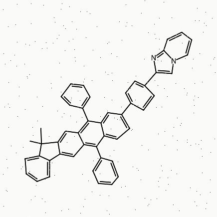 CC1(C)c2ccccc2-c2cc3c(-c4ccccc4)c4ccc(-c5ccc(-c6cn7ccccc7n6)cc5)cc4c(-c4ccccc4)c3cc21